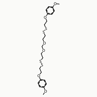 COc1ccc(OCCSSCCOCOCCSSCCOc2ccc(OC)cc2)cc1